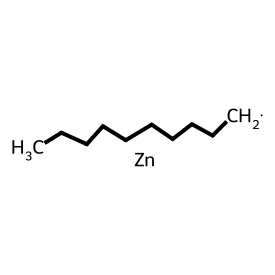 [CH2]CCCCCCCCC.[Zn]